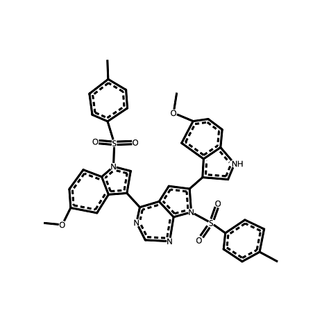 COc1ccc2[nH]cc(-c3cc4c(-c5cn(S(=O)(=O)c6ccc(C)cc6)c6ccc(OC)cc56)ncnc4n3S(=O)(=O)c3ccc(C)cc3)c2c1